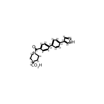 O=C(O)N1CCN(C(=O)c2ccc(-c3ccc(-c4cn[nH]c4)cc3)cc2)CC1